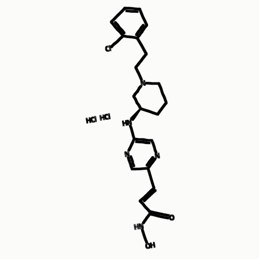 Cl.Cl.O=C(/C=C/c1cnc(N[C@@H]2CCCN(CCc3ccccc3Cl)C2)cn1)NO